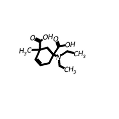 CCN(CC)C1(C(=O)O)CC=CC(C)(C(=O)O)C1